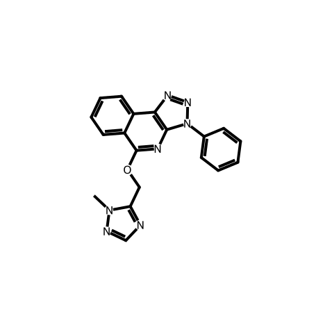 Cn1ncnc1COc1nc2c(nnn2-c2ccccc2)c2ccccc12